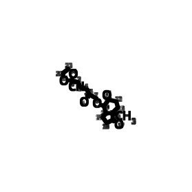 CC1(CCCC(=O)COC2C(=O)CCC3(C)C(=O)CCC23)OCCO1